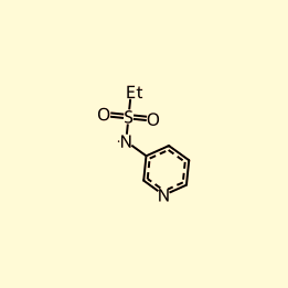 CCS(=O)(=O)[N]c1cccnc1